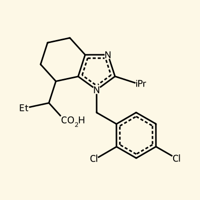 CCC(C(=O)O)C1CCCc2nc(C(C)C)n(Cc3ccc(Cl)cc3Cl)c21